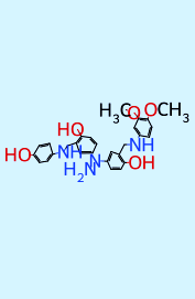 COc1ccc(NCc2cc(N(N)c3ccc(O)c(CNc4ccc(O)cc4)c3)ccc2O)cc1OC